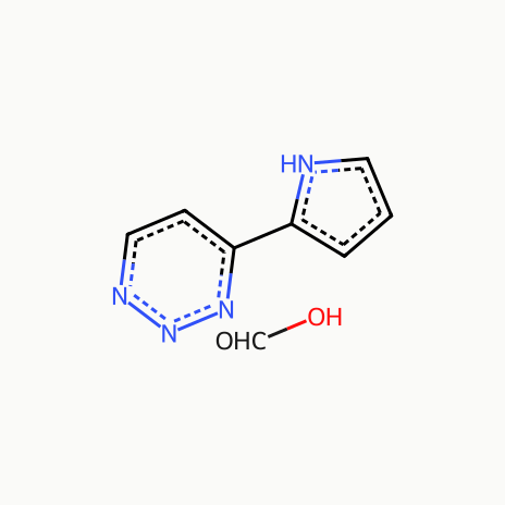 O=CO.c1c[nH]c(-c2ccnnn2)c1